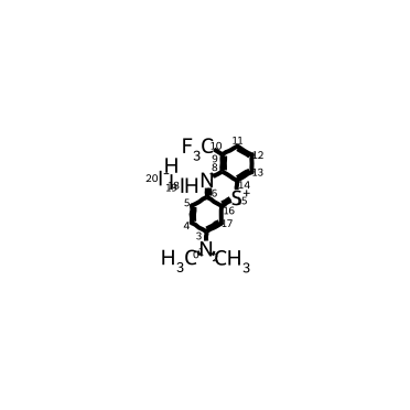 CN(C)c1ccc2nc3c(C(F)(F)F)cccc3[s+]c2c1.I.I.[I-]